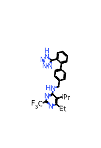 CCc1nc(C(F)(F)F)nc(NCc2ccc(-c3ccccc3-c3nnn[nH]3)cc2)c1C(C)C